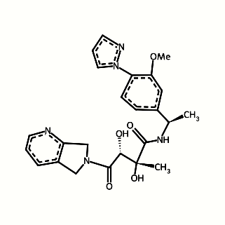 COc1cc([C@@H](C)NC(=O)[C@](C)(O)[C@@H](O)C(=O)N2Cc3cccnc3C2)ccc1-n1cccn1